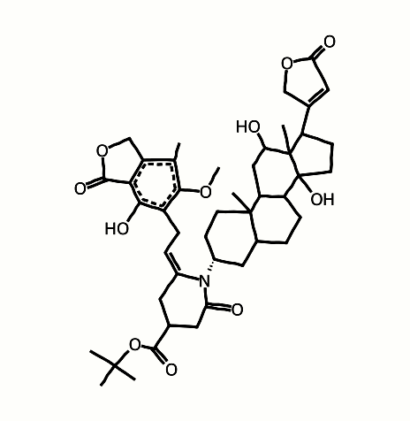 COc1c(C)c2c(c(O)c1C/C=C1/CC(C(=O)OC(C)(C)C)CC(=O)N1[C@@H]1CCC3(C)C(CCC4C3CC(O)C3(C)C(C5=CC(=O)OC5)CCC43O)C1)C(=O)OC2